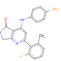 Cc1cccc(F)c1-c1cc(Nc2ccc(P)cc2)c2c(n1)CNC2=O